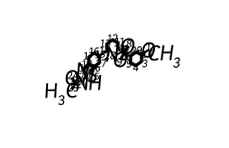 COc1cccc(S(=O)(=O)c2cccc(-c3ccc4nc(NC(C)=O)sc4c3)n2)c1